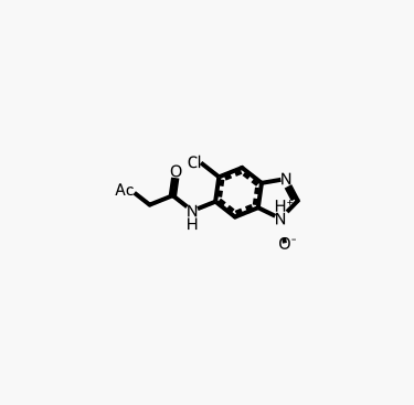 CC(=O)CC(=O)Nc1cc2c(cc1Cl)N=C[NH+]2[O-]